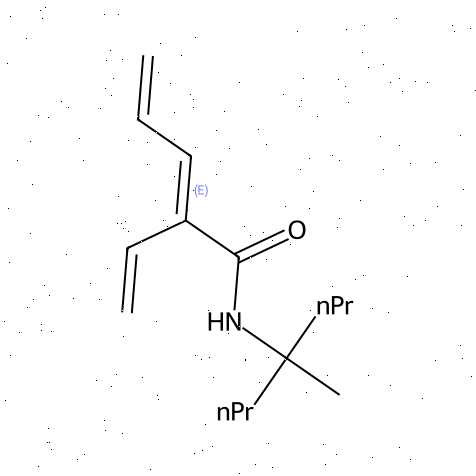 C=C/C=C(\C=C)C(=O)NC(C)(CCC)CCC